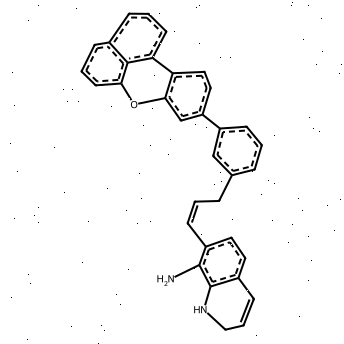 Nc1c(/C=C\Cc2cccc(-c3ccc4c(c3)Oc3cccc5cccc-4c35)c2)ccc2c1NCC=C2